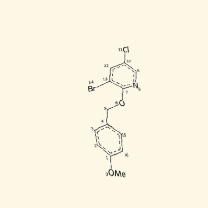 COc1ccc(COc2ncc(Cl)cc2Br)cc1